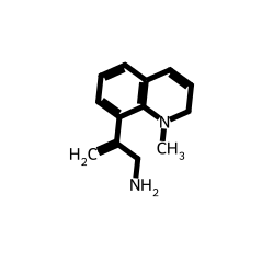 C=C(CN)c1cccc2c1N(C)CC=C2